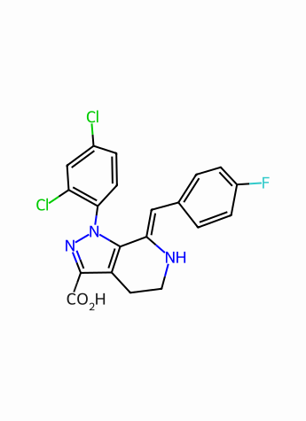 O=C(O)c1nn(-c2ccc(Cl)cc2Cl)c2c1CCNC2=Cc1ccc(F)cc1